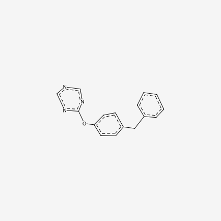 c1ccc(Cc2ccc(Oc3ncncn3)cc2)cc1